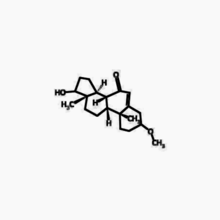 COC1CC[C@@]2(C)C(=CC(=O)[C@@H]3[C@H]2CC[C@]2(C)C(O)CC[C@@H]32)C1